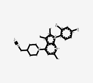 [C-]#[N+]CC1CCN(c2cc(C)nc3c2c(C)c(C)n3-c2ccc(Cl)cc2Cl)CC1